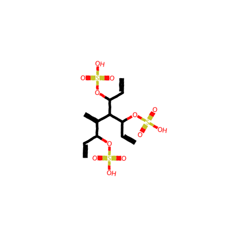 C=CC(OS(=O)(=O)O)[C](C(=C)C(C=C)OS(=O)(=O)O)C(C=C)OS(=O)(=O)O